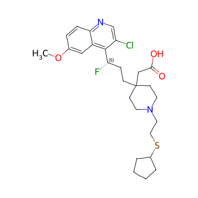 COc1ccc2ncc(Cl)c([C@@H](F)CCC3(CC(=O)O)CCN(CCSC4CCCC4)CC3)c2c1